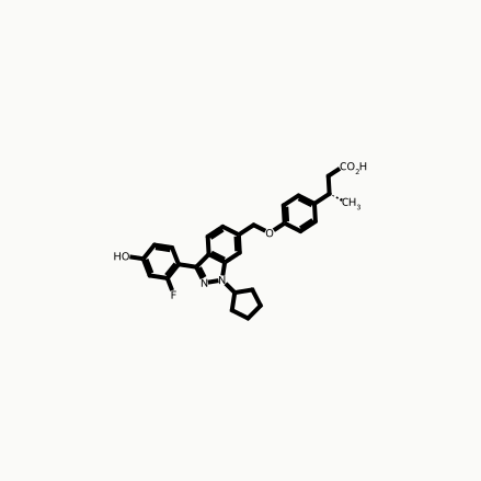 C[C@@H](CC(=O)O)c1ccc(OCc2ccc3c(-c4ccc(O)cc4F)nn(C4CCCC4)c3c2)cc1